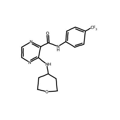 O=C(Nc1ccc(C(F)(F)F)cc1)c1nccnc1NC1CCOCC1